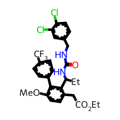 CCOC(=O)Cc1ccc(OC)c(-c2ccc(C(F)(F)F)cc2)c1C(CC)NC(=O)NCc1ccc(Cl)c(Cl)c1